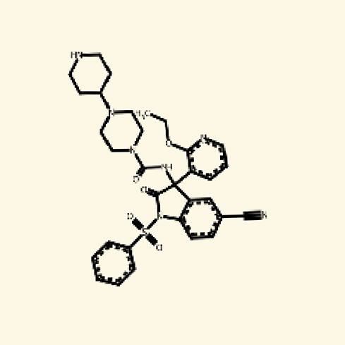 CCOc1ncccc1C1(NC(=O)N2CCN(C3CCNCC3)CC2)C(=O)N(S(=O)(=O)c2ccccc2)c2ccc(C#N)cc21